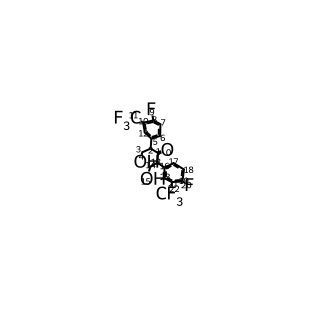 O=C(C(CO)c1ccc(F)c(C(F)(F)F)c1)C(CO)c1ccc(F)c(C(F)(F)F)c1